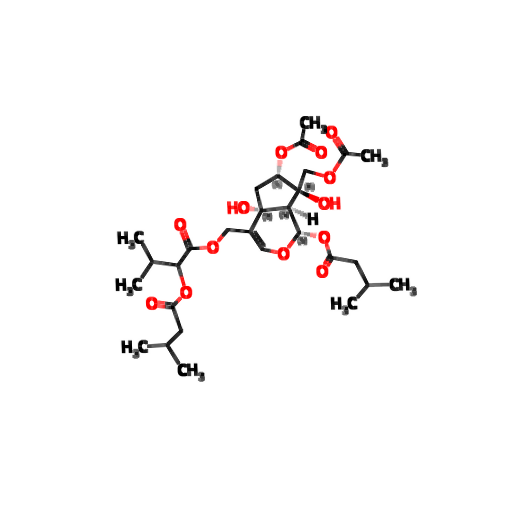 CC(=O)OC[C@@]1(O)[C@@H](OC(C)=O)C[C@]2(O)C(COC(=O)C(OC(=O)CC(C)C)C(C)C)=CO[C@@H](OC(=O)CC(C)C)[C@H]12